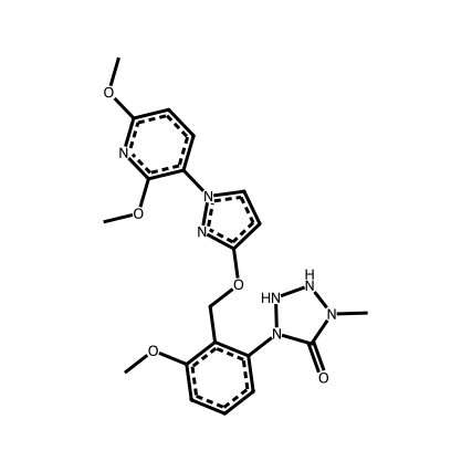 COc1ccc(-n2ccc(OCc3c(OC)cccc3N3NNN(C)C3=O)n2)c(OC)n1